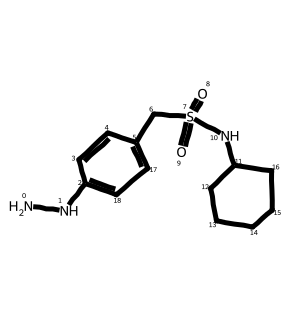 NNc1ccc(CS(=O)(=O)NC2CCCCC2)cc1